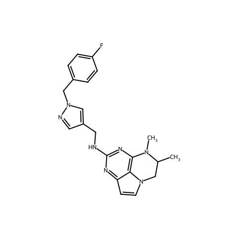 CC1Cn2ccc3nc(NCc4cnn(Cc5ccc(F)cc5)c4)nc(c32)N1C